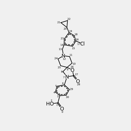 O=C(O)c1ccc(N2CC3(CCN(Cc4cc(Cl)cc(C5CC5)c4)CC3)OC2=O)cc1